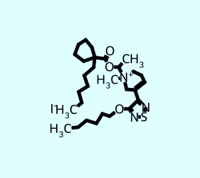 CCCCCCOc1nsnc1C1=CCC[N+](C)(C(C)OC(=O)C2(CCCCCC)CCCCC2)C1.[I-]